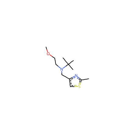 COCCN(Cc1csc(C)n1)C(C)(C)C